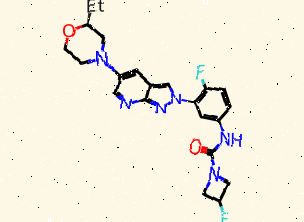 CC[C@H]1CN(c2cnc3nn(-c4cc(NC(=O)N5CC(F)C5)ccc4F)cc3c2)CCO1